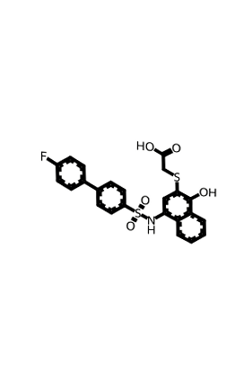 O=C(O)CSc1cc(NS(=O)(=O)c2ccc(-c3ccc(F)cc3)cc2)c2ccccc2c1O